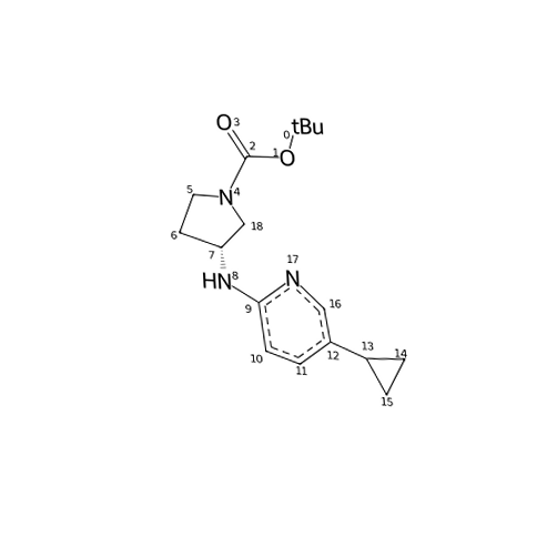 CC(C)(C)OC(=O)N1CC[C@@H](Nc2ccc(C3CC3)cn2)C1